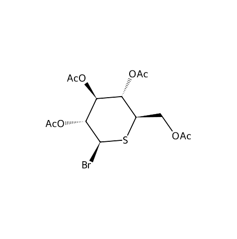 CC(=O)OC[C@H]1S[C@@H](Br)[C@H](OC(C)=O)[C@@H](OC(C)=O)[C@@H]1OC(C)=O